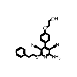 N#Cc1c(N)nc(SCCc2ccccc2)c(C#N)c1-c1ccc(OCCO)cc1